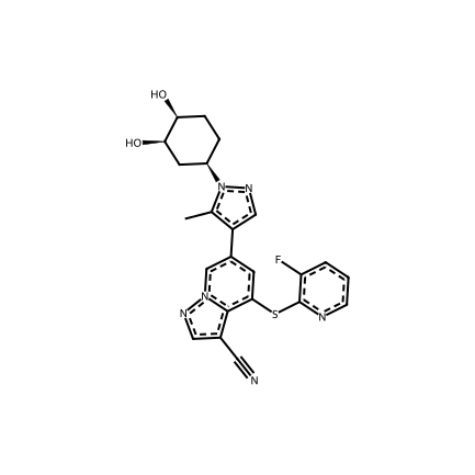 Cc1c(-c2cc(Sc3ncccc3F)c3c(C#N)cnn3c2)cnn1[C@@H]1CC[C@H](O)[C@H](O)C1